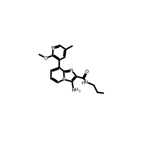 CCCNC(=O)c1nc2c(-c3cc(C)cnc3OC)cccn2c1N